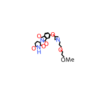 COCCCOCCCN1CC(Oc2ccc3c(c2)C(=O)N(C2CCC(=O)NC2=O)C3=O)C1